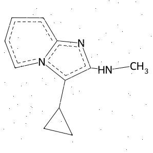 CNc1nc2ccccn2c1C1CC1